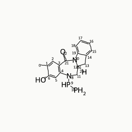 Cc1cc2c(cc1O)N(PP)C[C@@H]1Cc3ccccc3N1C2=O